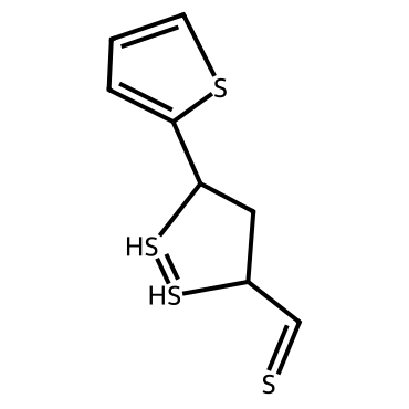 S=CC1CC(c2cccs2)[SH]=[SH]1